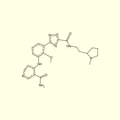 COc1c(Nc2ccncc2C(N)=O)cccc1-c1noc(C(=O)NCCC2CCCN2C)n1